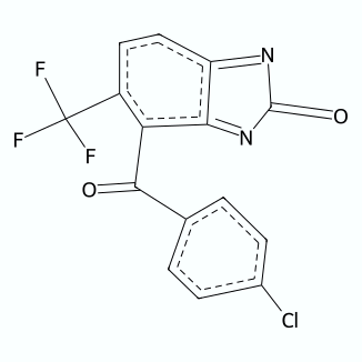 O=C1N=c2ccc(C(F)(F)F)c(C(=O)c3ccc(Cl)cc3)c2=N1